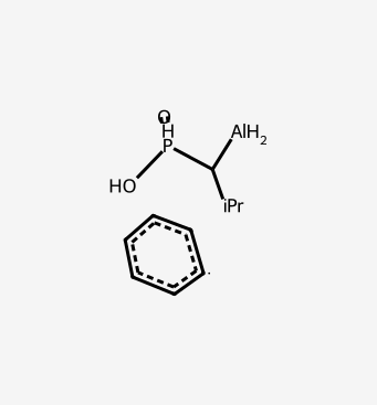 CC(C)[CH]([AlH2])[PH](=O)O.[c]1ccccc1